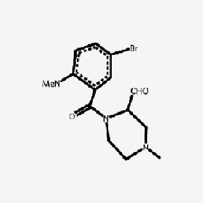 CNc1ccc(Br)cc1C(=O)N1CCN(C)CC1C=O